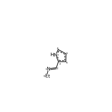 CCN=Cc1ccc[nH]1